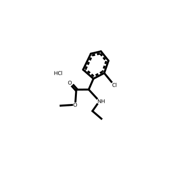 CCNC(C(=O)OC)c1ccccc1Cl.Cl